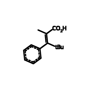 CC(C(=O)O)=C(c1ccccc1)C(C)(C)C